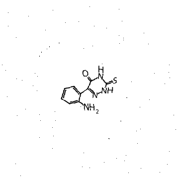 Nc1ccccc1-c1n[nH]c(=S)[nH]c1=O